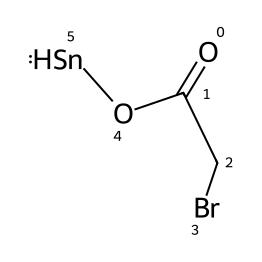 O=C(CBr)[O][SnH]